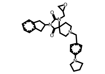 O=C1N(C2Cc3ccccc3C2)C(=O)C2(CCN(Cc3ccc(N4CCCC4)cc3)CC2)N1CC1CO1